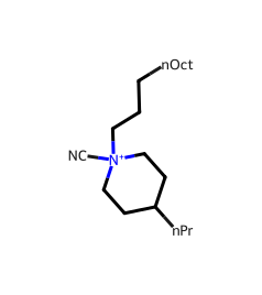 CCCCCCCCCCC[N+]1(C#N)CCC(CCC)CC1